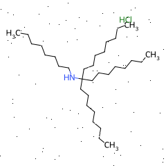 CCCCCCCCNC(CCCCCCCC)(CCCCCCCC)CCCCCCCC.Cl